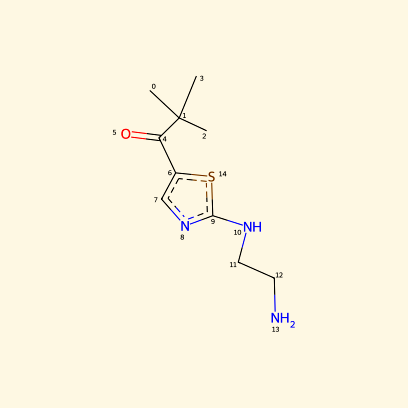 CC(C)(C)C(=O)c1cnc(NCCN)s1